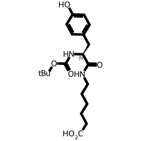 CC(C)(C)OC(=O)N[C@@H](Cc1ccc(O)cc1)C(=O)NCCCCCC(=O)O